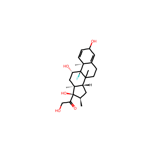 C[C@@H]1C[C@H]2C3(C)CCC4=CC(O)C=C[C@]4(C)[C@@]3(F)[C@@H](O)C[C@]2(C)[C@@]1(O)C(=O)CO